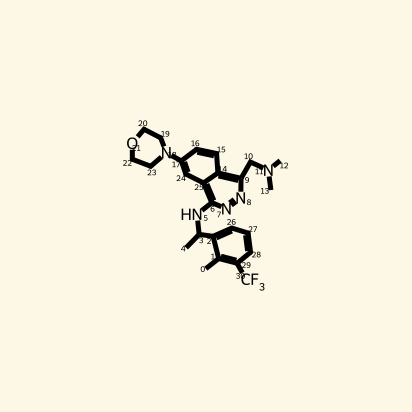 Cc1c(C(C)Nc2nnc(CN(C)C)c3ccc(N4CCOCC4)cc23)cccc1C(F)(F)F